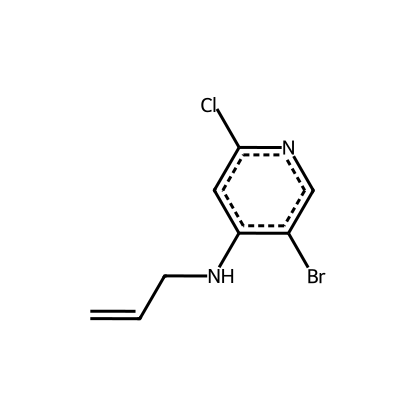 C=CCNc1cc(Cl)ncc1Br